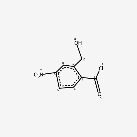 O=C(Cl)c1ccc([N+](=O)[O-])cc1CO